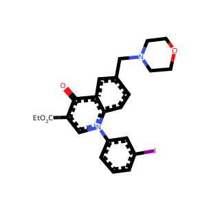 CCOC(=O)c1cn(-c2cccc(I)c2)c2ccc(CN3CCOCC3)cc2c1=O